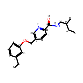 CCc1cccc(OCc2ccc(C(=O)NCC(C)CC)nc2)c1